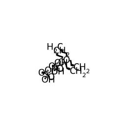 C=CCOCC=C.C=CCOCC=C.O=S(=O)(O)O.O=S(=O)(O)O